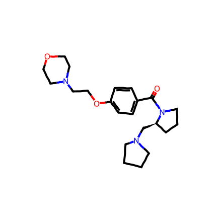 O=C(c1ccc(OCCN2CCOCC2)cc1)N1CCC[C@H]1CN1CCCC1